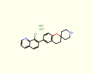 Cl.Cl.Clc1c(-c2ccc3c(c2)CCC2(CCNCC2)O3)ccc2cccnc12